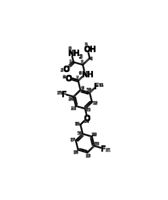 NC(=O)C(CO)NC(=O)c1c(F)cc(OCc2cccc(F)c2)cc1F